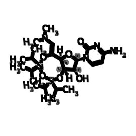 CC(C)[Si]1(C(C)C)OC(=CN(C)C)[C@H]2O[C@@H](n3ccc(N)nc3=O)[C@H](O)[C@@H]2O[Si](C(C)C)(C(C)C)O1